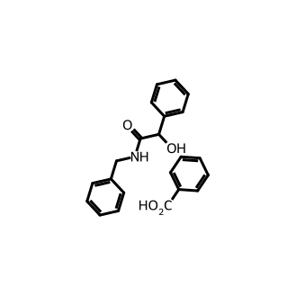 O=C(NCc1ccccc1)C(O)c1ccccc1.O=C(O)c1ccccc1